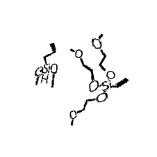 C=CC[SiH](OC)OC.C=C[Si](OCCOC)(OCCOC)OCCOC